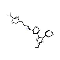 CCn1nc(-c2ccccc2)c(-c2cccc(/C=C/CCC3CSC(C(C)C)=N3)c2)n1